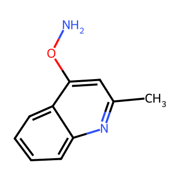 Cc1cc(ON)c2ccccc2n1